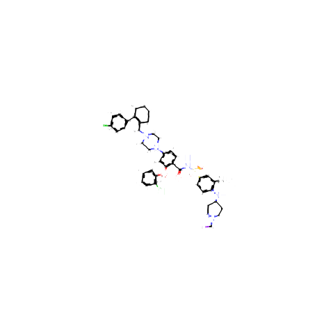 O=C(NS(=O)(=O)c1ccc(NC2CCN(CI)CC2)c([N+](=O)[O-])c1)c1ccc(N2CCN(CC3=C(c4ccc(Cl)cc4)CCCC3)CC2)cc1Oc1ccccc1Cl